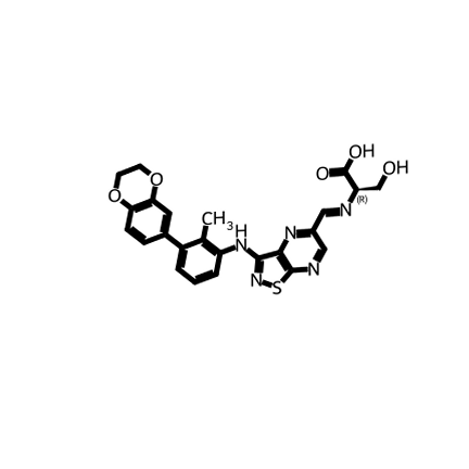 Cc1c(Nc2nsc3ncc(C=N[C@H](CO)C(=O)O)nc23)cccc1-c1ccc2c(c1)OCCO2